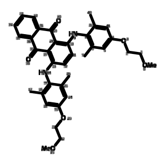 COCCOc1cc(C)c(Nc2ccc(Nc3c(C)cc(OCCOC)cc3C)c3c2C(=O)c2ccccc2C3=O)c(C)c1